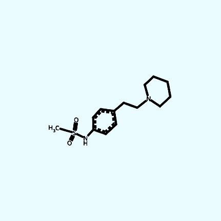 CS(=O)(=O)Nc1ccc(CCN2CCCCC2)cc1